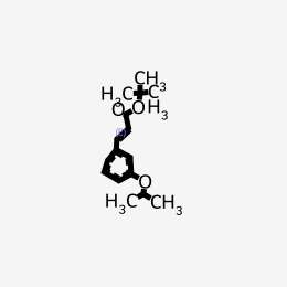 CC(C)Oc1cccc(/C=C/C(=O)OC(C)(C)C)c1